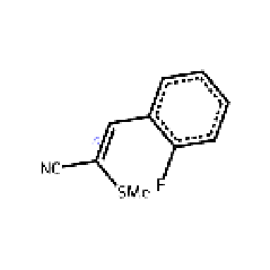 CS/C(C#N)=C\c1ccccc1F